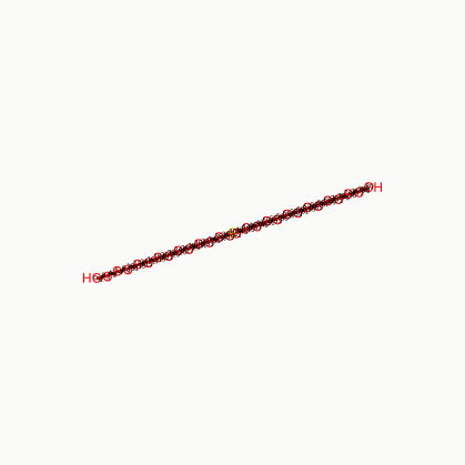 OCCOCCOCCOCCOCCOCCOCCOCCOCCOCCOCCOCCOCCOSOCCOCCOCCOCCOCCOCCOCCOCCOCCOCCOCCOCCOCCO